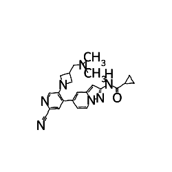 CN(C)CC1CN(c2cnc(C#N)cc2-c2ccn3nc(NC(=O)C4CC4)cc3c2)C1